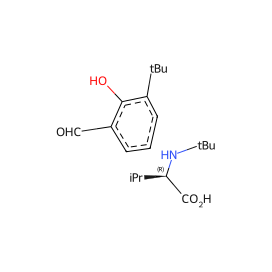 CC(C)(C)c1cccc(C=O)c1O.CC(C)[C@@H](NC(C)(C)C)C(=O)O